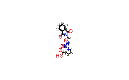 O=C(O)C1CCCN1[N+]([O-])=NOCN1C(=O)c2ccccc2C1=O